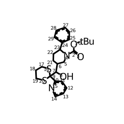 CC(C)(C)OC(=O)N1CC(C(O)C2(c3ccccn3)SCCCS2)CCC1c1ccccc1